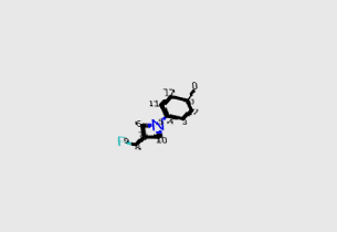 C[C@H]1CC[C@@H](N2CC(CF)C2)CC1